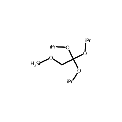 CC(C)OC(CO[SiH3])(OC(C)C)OC(C)C